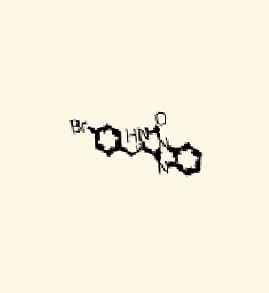 O=C1N[C@H](Cc2ccc(Br)cc2)c2nc3ccccc3n21